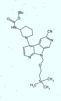 CC(C)(C)OC(=O)NC1CCCN(c2ccnc3c2c2cc(C#N)ncc2n3COCC[Si](C)(C)C)C1